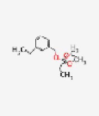 C=Cc1cccc(CO[Si](CC)(OC)OC)c1